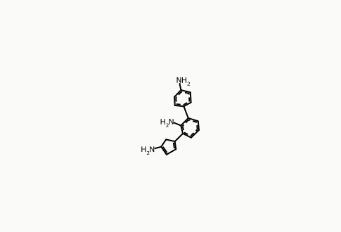 NC1=CC=C(c2cccc(-c3ccc(N)cc3)c2N)C1